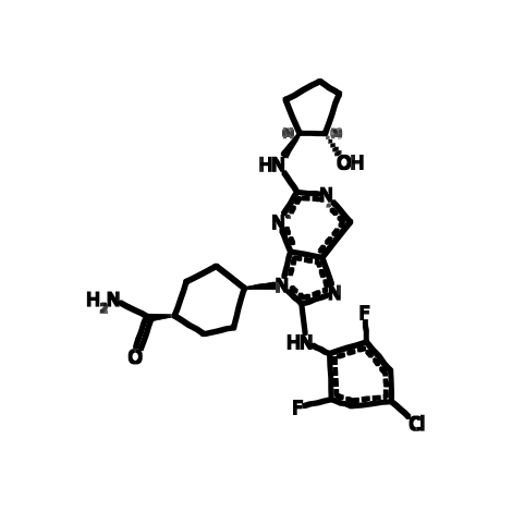 NC(=O)[C@H]1CC[C@@H](n2c(Nc3c(F)cc(Cl)cc3F)nc3cnc(N[C@H]4CCC[C@@H]4O)nc32)CC1